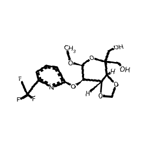 CO[C@H]1OC(CO)(CO)[C@@H]2OCO[C@@H]2[C@H]1Oc1cccc(C(F)(F)F)n1